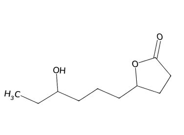 CCC(O)CCCC1CCC(=O)O1